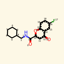 O=C(NCC1CCCCC1)c1cc(=O)c2cc(F)ccc2o1